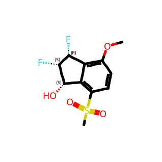 COc1ccc(S(C)(=O)=O)c2c1[C@@H](F)[C@@H](F)[C@H]2O